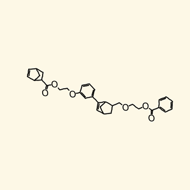 O=C(OCCOCC1CC2C=C(c3cccc(OCCOC(=O)C4CC5C=CC4C5)c3)C1C2)c1ccccc1